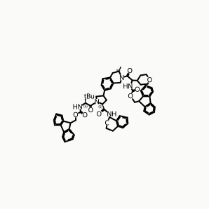 C[C@@H]1Cc2ccc(C3C[C@@H](C(=O)NC4CCCc5ccccc54)N(C(=O)[C@@H](NC(=O)OCC4c5ccccc5-c5ccccc54)C(C)(C)C)C3)cc2CN1C(=O)C(NC(=O)OCC1c2ccccc2-c2ccccc21)C1CCOCC1